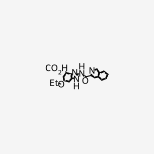 CCOc1cc(C(=O)O)c2nc(NC(=O)c3cc4ccccc4cn3)[nH]c2c1